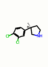 C[C@]1(c2ccc(Cl)c(Cl)c2)CCNC1